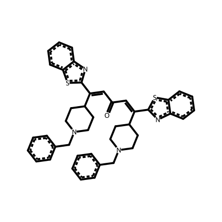 O=C(/C=C(/c1nc2ccccc2s1)C1CCN(Cc2ccccc2)CC1)/C=C(/c1nc2ccccc2s1)C1CCN(Cc2ccccc2)CC1